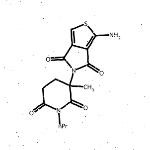 CCCN1C(=O)CCC(C)(N2C(=O)c3csc(N)c3C2=O)C1=O